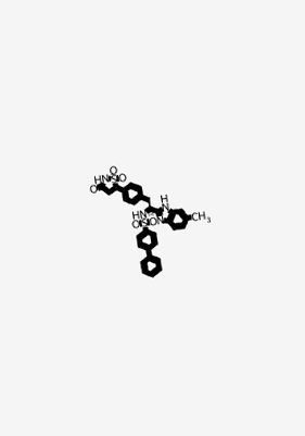 Cc1ccc2nc([C@H](Cc3ccc(C4CC(=O)NS4(=O)=O)cc3)NS(=O)(=O)c3ccc(-c4ccccc4)cc3)[nH]c2c1